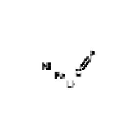 O=[P].[Fe].[Li].[Ni]